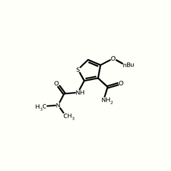 CCCCOc1csc(NC(=O)N(C)C)c1C(N)=O